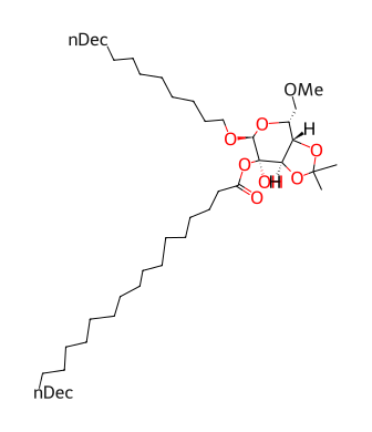 CCCCCCCCCCCCCCCCCCCCCCCCCC(=O)O[C@@]1(O)[C@@H](OCCCCCCCCCCCCCCCCCC)O[C@H](COC)[C@@H]2OC(C)(C)O[C@H]21